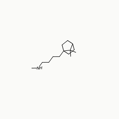 CNCCCCC12CCC(CC1)C2(C)C